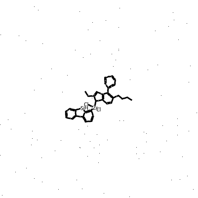 CCCCc1ccc2c(c1-c1ccccc1)C=C(CC)[CH]2[Zr]([Cl])([Cl])[c]1cccc2c1[SiH2]c1ccccc1-2